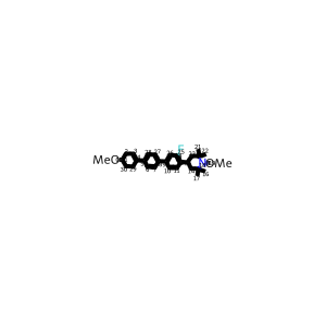 COC1CC=C(c2ccc(-c3ccc(C4CC(C)(C)N(OC)C(C)(C)C4)c(F)c3)cc2)CC1